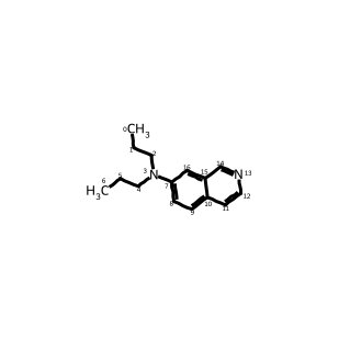 CCCN(CCC)c1ccc2ccncc2c1